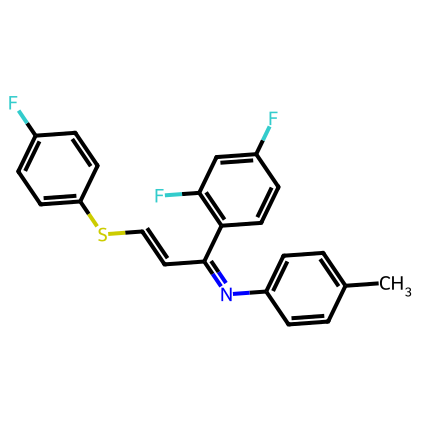 Cc1ccc(N=C(C=CSc2ccc(F)cc2)c2ccc(F)cc2F)cc1